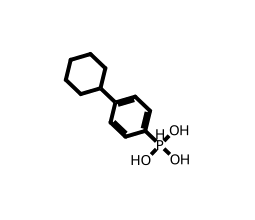 O[PH](O)(O)c1ccc(C2CCCCC2)cc1